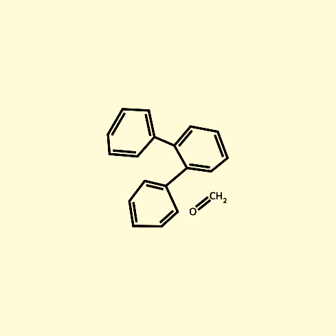 C=O.c1ccc(-c2ccccc2-c2ccccc2)cc1